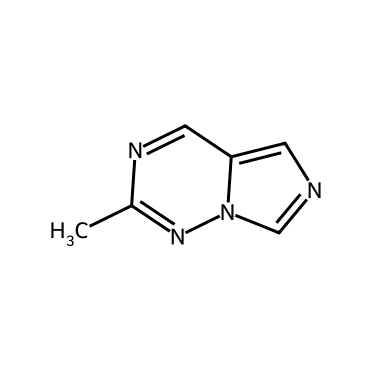 Cc1ncc2cncn2n1